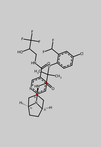 CC(C)(Oc1ccc(Cl)cc1C(F)F)C(=O)N[C@H]1C[C@H]2CC[C@@H](C1)N2c1ccc(C(=O)NCC(O)C(F)(F)F)cn1